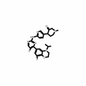 CC(C)N1CCOc2c(F)cc(-c3nc(Nc4ccc(C5CCN(C)CC5=O)cn4)ncc3F)cc21